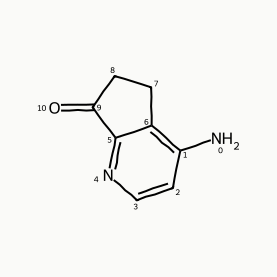 Nc1ccnc2c1CCC2=O